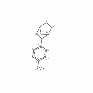 CSc1ccc(C2CC3CCC2N3)cc1